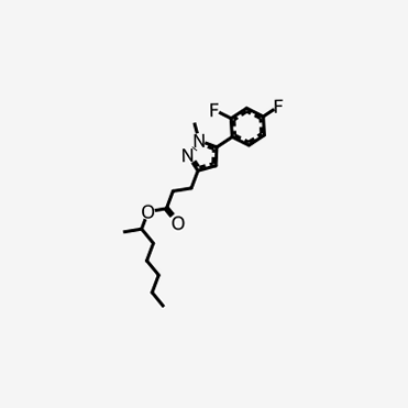 CCCCCC(C)OC(=O)CCc1cc(-c2ccc(F)cc2F)n(C)n1